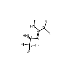 CN/C(=C\C(=N)C(F)(F)F)C(C)C